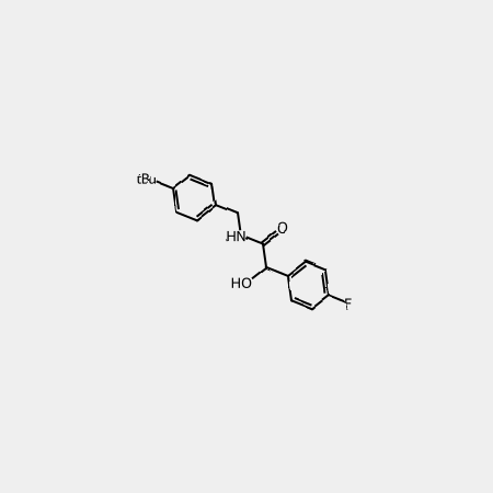 CC(C)(C)c1ccc(CNC(=O)C(O)c2ccc(F)cc2)cc1